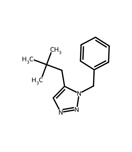 CC(C)(C)Cc1cnnn1Cc1ccccc1